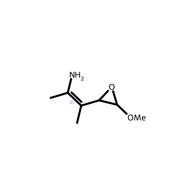 COC1OC1/C(C)=C(/C)N